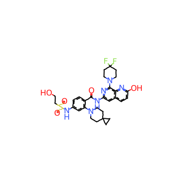 O=C(Nc1cc2ccc(O)nc2c(N2CCC(F)(F)CC2)n1)c1ccc(NS(=O)(=O)CCO)cc1N1CCC2(CC1)CC2